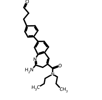 CCCN(CCC)C(=O)C1=Cc2ccc(-c3ccc(CCC=O)cc3)cc2N=C(N)C1